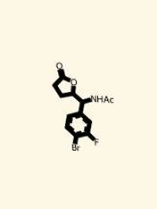 CC(=O)NC(c1ccc(Br)c(F)c1)C1CCC(=O)O1